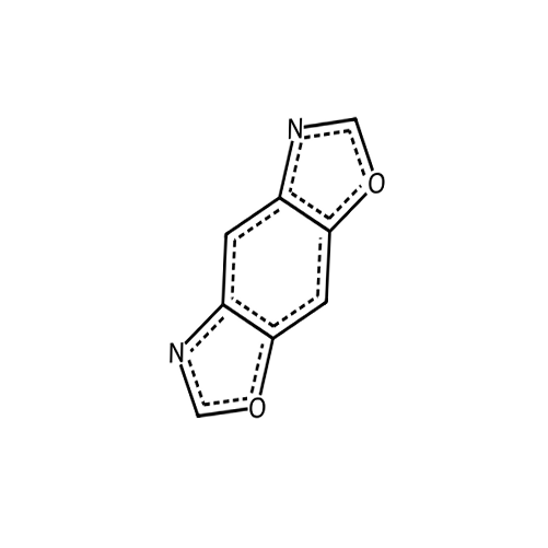 c1nc2cc3ncoc3cc2o1